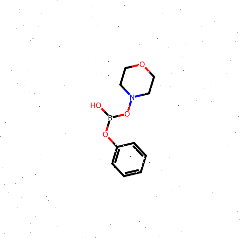 OB(Oc1ccccc1)ON1CCOCC1